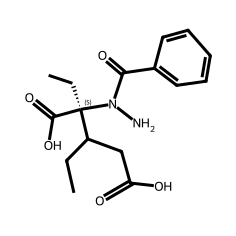 CCC(CC(=O)O)[C@@](CC)(C(=O)O)N(N)C(=O)c1ccccc1